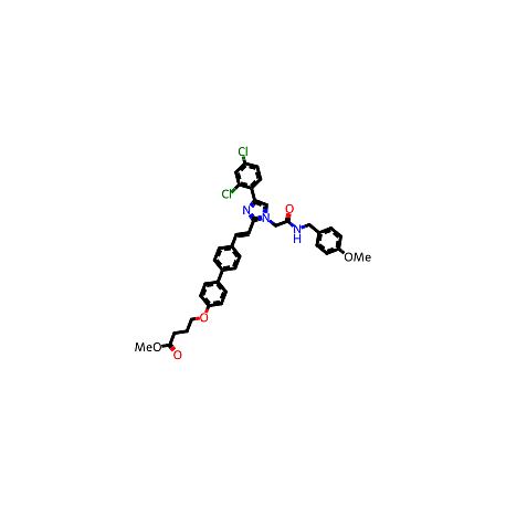 COC(=O)CCCOc1ccc(-c2ccc(C=Cc3nc(-c4ccc(Cl)cc4Cl)cn3CC(=O)NCc3ccc(OC)cc3)cc2)cc1